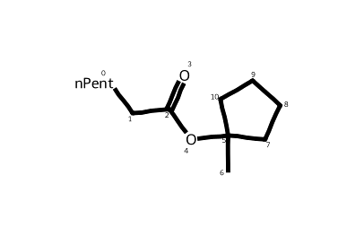 CCCCCCC(=O)OC1(C)CCCC1